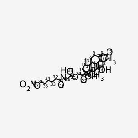 C[C@]12C=CC(=O)C=C1CC[C@@H]1[C@@H]2[C@@H](O)C[C@@]2(C)[C@H]1CC[C@]2(O)C(=O)COC(=O)CNC(=O)CCCCCO[N+](=O)[O-]